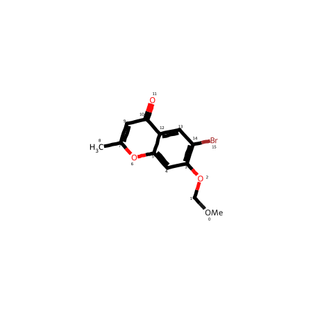 COCOc1cc2oc(C)cc(=O)c2cc1Br